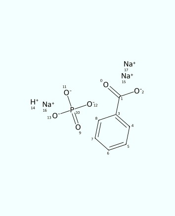 O=C([O-])c1ccccc1.O=P([O-])([O-])[O-].[H+].[Na+].[Na+].[Na+]